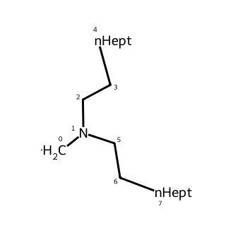 [CH2]N(CCCCCCCCC)CCCCCCCCC